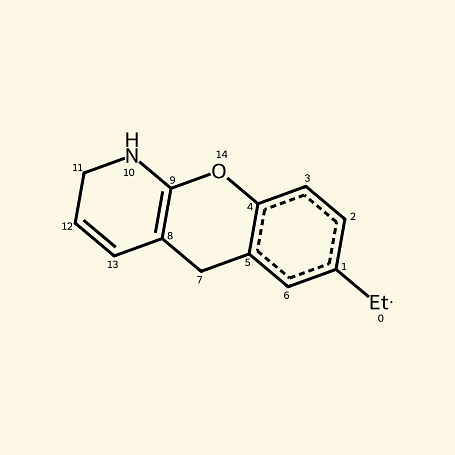 C[CH]c1ccc2c(c1)CC1=C(NCC=C1)O2